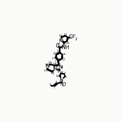 CC#CC(=O)N1CC[C@@H](c2nc(-c3ccc(C(=O)Nc4cc(C(F)(F)F)ccn4)cc3)c3cnccn23)C1